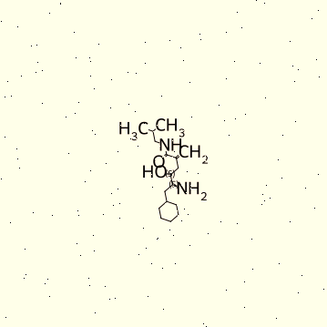 C=C(C[C@H](O)[C@@H](N)CC1CCCCC1)C(=O)NCC(C)C